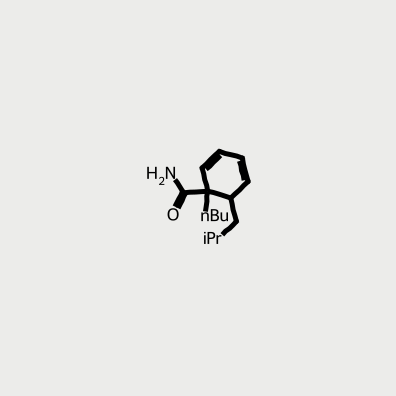 CCCCC1(C(N)=O)C=CC=CC1CC(C)C